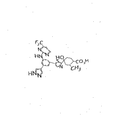 CC1C[C@](O)(c2ncc(-c3cc(Nc4nccc(C(F)(F)F)n4)cc(-c4cn[nH]c4)c3)s2)CCC1C(=O)O